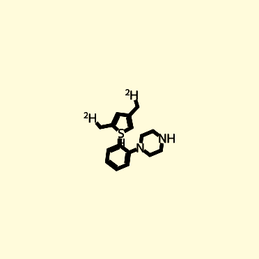 [2H]CC1=C[SH](c2ccccc2N2CCNCC2)C(C[2H])=C1